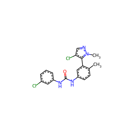 Cc1ccc(NC(=O)Nc2cccc(Cl)c2)cc1-c1c(Cl)cnn1C